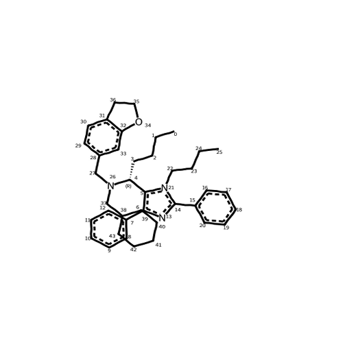 CCCC[C@H](c1c(-c2ccccc2)nc(-c2ccccc2)n1CCCC)N(Cc1ccc2c(c1)OCC2)CC1CCCCC1